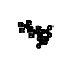 CC[N+](CC)(CC)CC.CC[N+](CC)(CC)CC.[O-]B1OB2OB([O-])OB(O1)O2